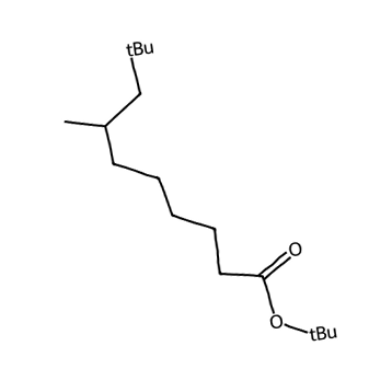 CC(CCCCCC(=O)OC(C)(C)C)CC(C)(C)C